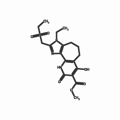 CCn1c(CS(=O)(=O)CC)nc2c1CCCc1c-2[nH]c(=O)c(C(=O)OC)c1O